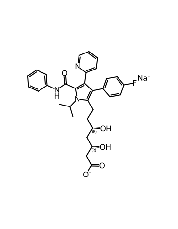 CC(C)n1c(CC[C@@H](O)C[C@@H](O)CC(=O)[O-])c(-c2ccc(F)cc2)c(-c2ccccn2)c1C(=O)Nc1ccccc1.[Na+]